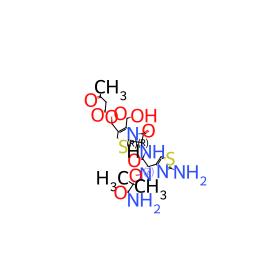 CC(=O)CC(=O)OCC1=C(C(=O)O)N2C(=O)[C@@H](NC(=O)/C(=N\OC(C)(C)C(N)=O)c3csc(N)n3)[C@H]2SC1